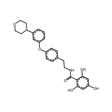 O=C(NCCc1ccc(Oc2cccc(N3CCOCC3)c2)cc1)c1c(O)cc(O)cc1O